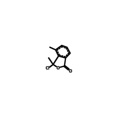 Cc1cccc2c1C(C)(Cl)OC2=O